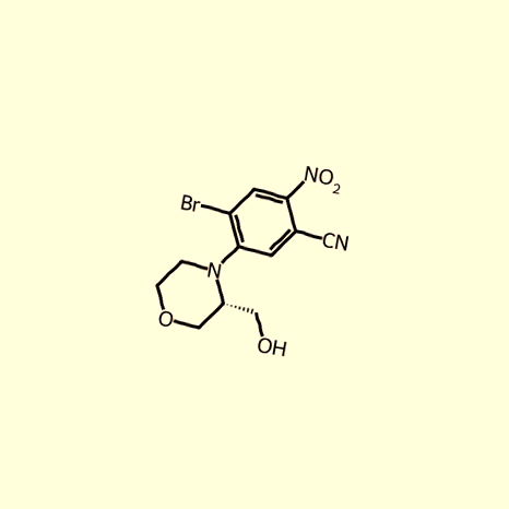 N#Cc1cc(N2CCOC[C@H]2CO)c(Br)cc1[N+](=O)[O-]